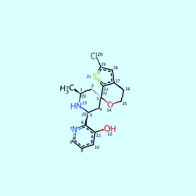 C[C@H]1C[C@@]2(C[C@@H](c3ncccc3O)N1)OCCc1cc(Cl)sc12